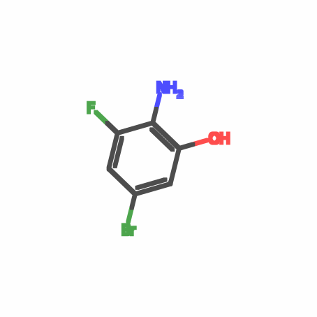 Nc1c(O)cc(Br)cc1F